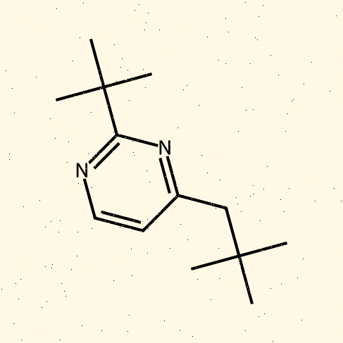 CC(C)(C)Cc1ccnc(C(C)(C)C)n1